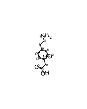 Cl.NCCc1ccc(CC(=O)O)cc1